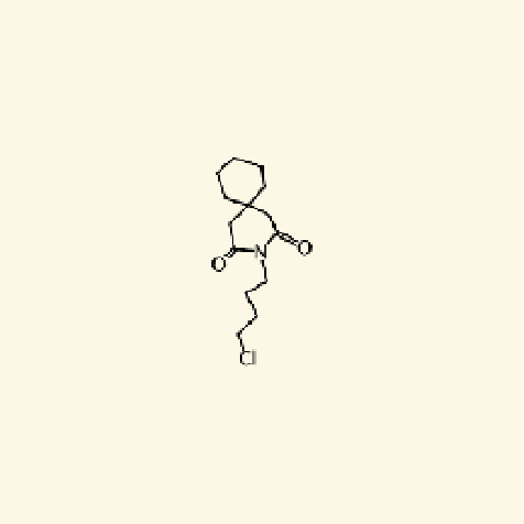 O=C1CC2(CCCCC2)CC(=O)N1CCCCCl